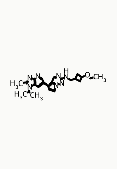 CCOC1CC(CNc2ncc3c(-c4cnc5nc(C)n(C(C)C)c5c4)ccn3n2)C1